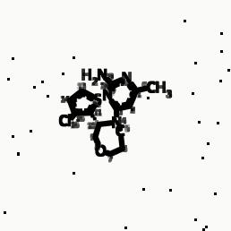 Cc1cc(N2CCCOC[C@@H]2c2sccc2Cl)nc(N)n1